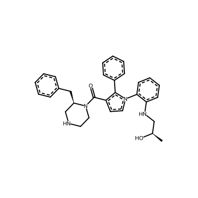 C[C@@H](O)CNc1ccccc1-n1ccc(C(=O)N2CCNC[C@H]2Cc2ccccc2)c1-c1ccccc1